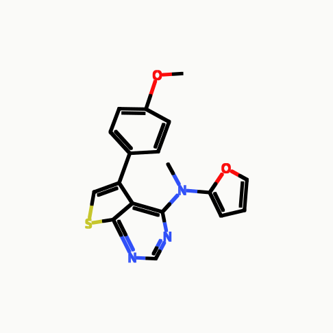 COc1ccc(-c2csc3ncnc(N(C)c4ccco4)c23)cc1